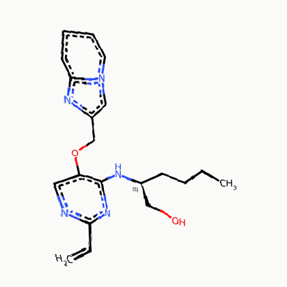 C=Cc1ncc(OCc2cn3ccccc3n2)c(N[C@H](CO)CCCC)n1